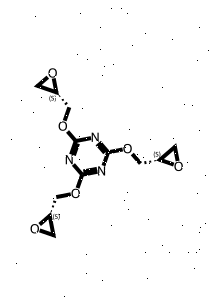 C(Oc1nc(OC[C@@H]2CO2)nc(OC[C@@H]2CO2)n1)[C@@H]1CO1